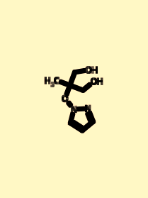 CC(CO)(CO)On1cccn1